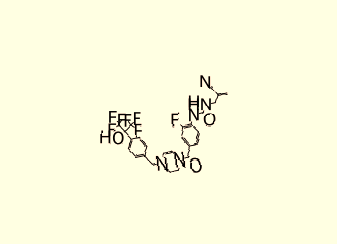 C=C(C#N)CNC(=O)Nc1ccc(C(=O)N2CCN(Cc3ccc(C(O)(C(F)(F)F)C(F)(F)F)cc3)CC2)cc1F